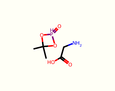 CC1(C)O[PH](=O)O1.NCC(=O)O